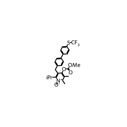 COC(=O)Oc1c(C)c(C)[n+]([O-])c(C(C)C)c1Cc1ccc(-c2ccc(SC(F)(F)F)cc2)cc1